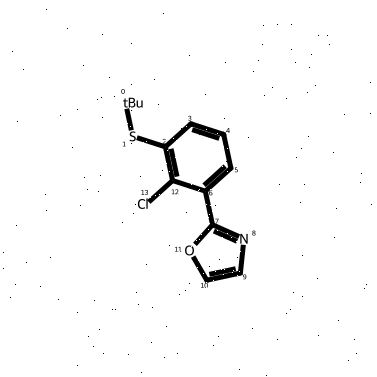 CC(C)(C)Sc1cccc(-c2ncco2)c1Cl